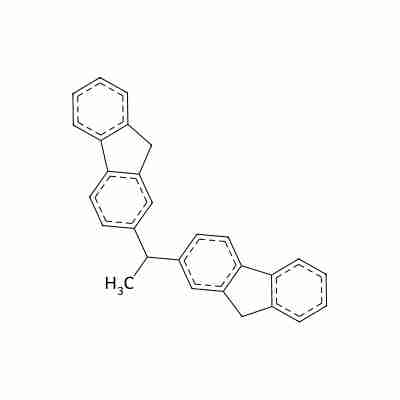 CC(c1ccc2c(c1)Cc1ccccc1-2)c1ccc2c(c1)Cc1ccccc1-2